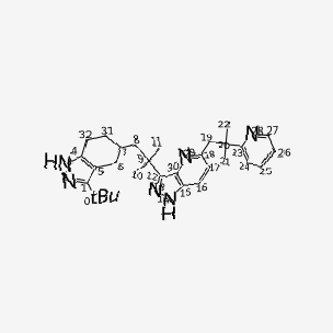 CC(C)(C)c1n[nH]c2c1CC(CC(C)(C)c1n[nH]c3ccc(CC(C)(C)c4ccccn4)nc13)CC2